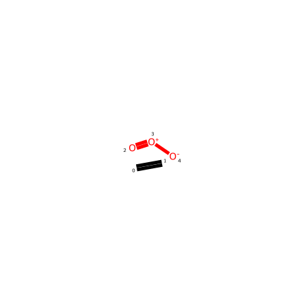 C=C.O=[O+][O-]